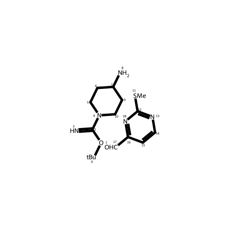 CC(C)(C)OC(=N)N1CCC(N)CC1.CSc1nccc(C=O)n1